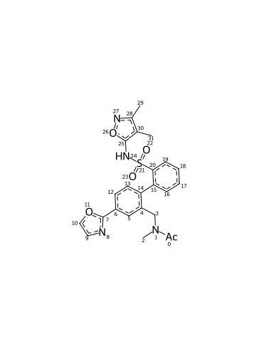 CC(=O)N(C)Cc1cc(-c2ncco2)ccc1-c1ccccc1S(=O)(=O)Nc1onc(C)c1C